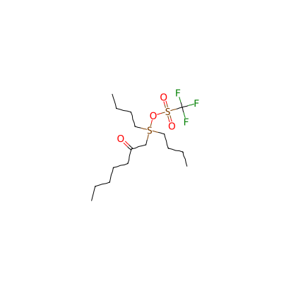 CCCCCC(=O)CS(CCCC)(CCCC)OS(=O)(=O)C(F)(F)F